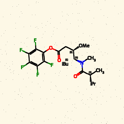 CC[C@H](C)[C@@H]([C@@H](CC(=O)Oc1c(F)c(F)c(F)c(F)c1F)OC)N(C)C(=O)[C@@H](C)C(C)C